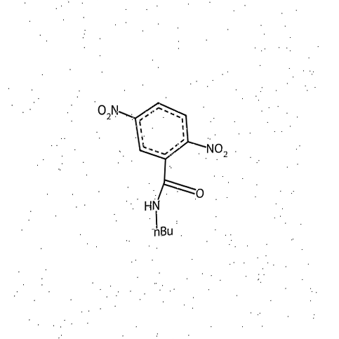 CCCCNC(=O)c1cc([N+](=O)[O-])ccc1[N+](=O)[O-]